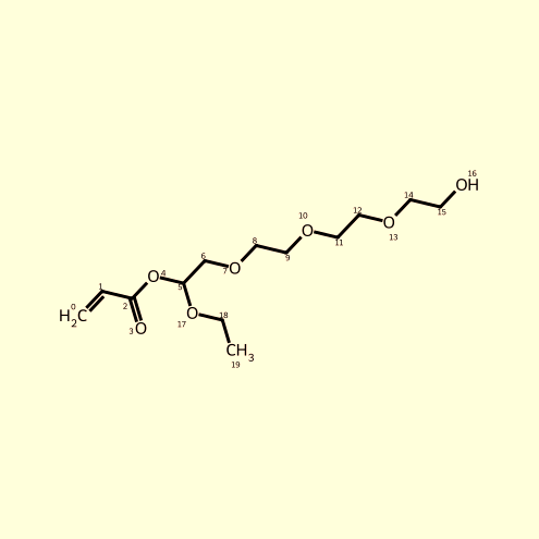 C=CC(=O)OC(COCCOCCOCCO)OCC